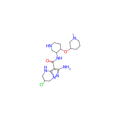 CN1CCCC(OC2CCNCC2NC(=O)c2c(N)nn3c2NCC(Cl)C3)C1